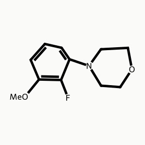 COc1cccc(N2CCOCC2)c1F